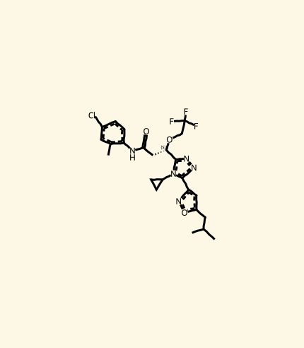 Cc1cc(Cl)ccc1NC(=O)C[C@H](OCC(F)(F)F)c1nnc(-c2cc(CC(C)C)on2)n1C1CC1